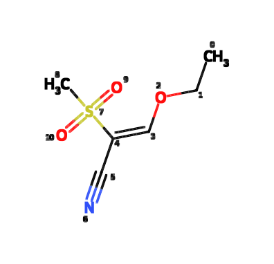 CCOC=C(C#N)S(C)(=O)=O